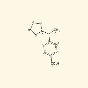 CC(c1ccc(C(=O)O)cn1)N1CCCC1